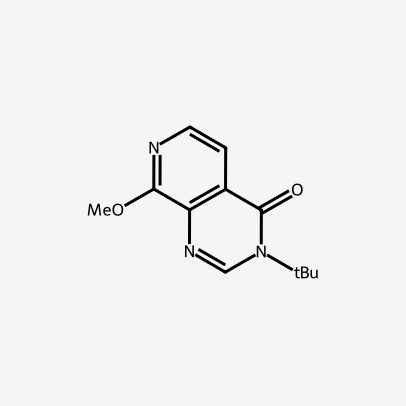 COc1nccc2c(=O)n(C(C)(C)C)cnc12